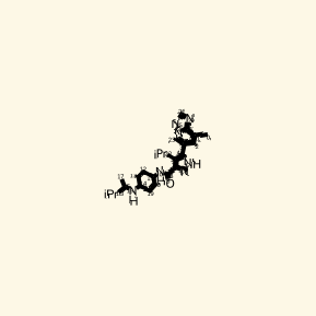 Cc1cc(-c2[nH]nc(C(=O)NC3CCC(NC(C)C(C)C)CC3)c2C(C)C)cn2ncnc12